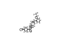 CC(C)COc1ccccc1CN1CCC2(CC1)CN(C(=O)c1ccc(Cl)cc1)C2